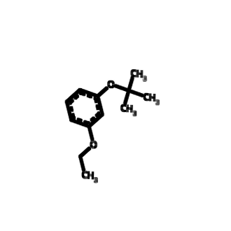 CCOc1cccc(OC(C)(C)C)c1